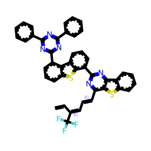 C=C/C(=C\C=C\c1nc(-c2cccc3c2sc2cccc(-c4nc(-c5ccccc5)nc(-c5ccccc5)n4)c23)nc2c1sc1ccccc12)C(F)(F)F